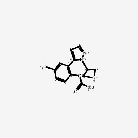 CC(C)(C)C(=O)Oc1ccc(C(F)(F)F)cc1-c1ccnn1C1CNC1